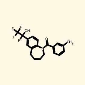 Cc1cccc(C(=O)N2CCCCc3cc(C(O)(F)C(F)(F)F)ccc32)c1